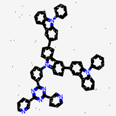 c1ccc(-n2c3ccccc3c3cc(-c4ccc5c(c4)c4cc(-c6ccc7c(c6)c6ccccc6n7-c6ccccc6)ccc4n5-c4cccc(-c5nc(-c6cccnc6)nc(-c6cccnc6)n5)c4)ccc32)cc1